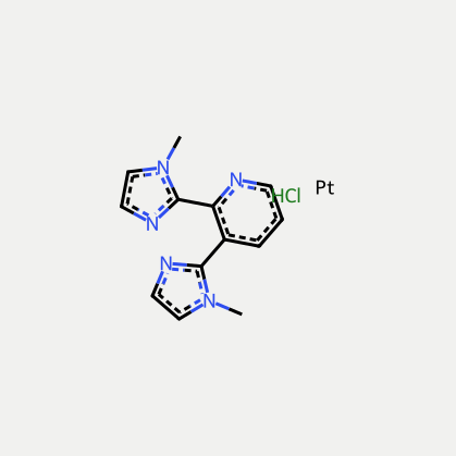 Cl.Cn1ccnc1-c1cccnc1-c1nccn1C.[Pt]